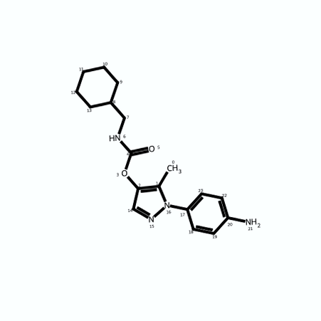 Cc1c(OC(=O)NCC2CCCCC2)cnn1-c1ccc(N)cc1